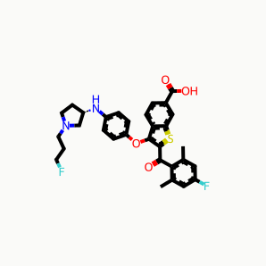 Cc1cc(F)cc(C)c1C(=O)c1sc2cc(C(=O)O)ccc2c1Oc1ccc(N[C@H]2CCN(CCCF)C2)cc1